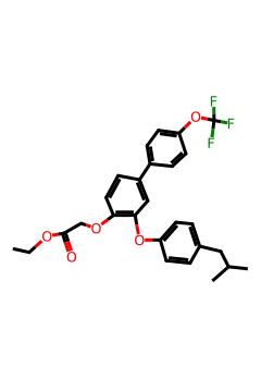 CCOC(=O)COc1ccc(-c2ccc(OC(F)(F)F)cc2)cc1Oc1ccc(CC(C)C)cc1